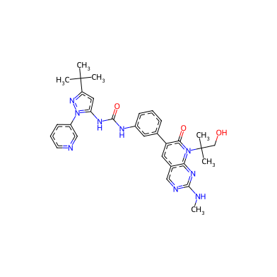 CNc1ncc2cc(-c3cccc(NC(=O)Nc4cc(C(C)(C)C)nn4-c4cccnc4)c3)c(=O)n(C(C)(C)CO)c2n1